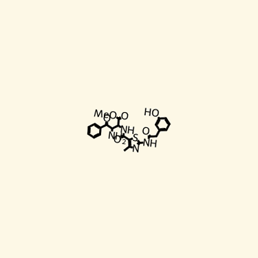 COC(=O)C(NC(=O)c1sc(NC(=O)Cc2cccc(O)c2)nc1C)C(N)C(=O)c1ccccc1